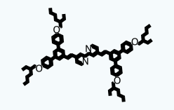 CCCCC(CC)COc1ccc(-c2cc(/C=C/c3ccnc(-c4cc(/C=C/c5cc(-c6ccc(OCC(CC)CCCC)cc6)cc(-c6ccc(OCC(CC)CCCC)cc6)c5)ccn4)c3)cc(-c3ccc(OCC(CC)CCCC)cc3)c2)cc1